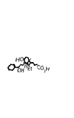 CCC1C(=CCCC(=O)O)[C@@]2(C)CC[C@@H](O)[C@H](CCC(O)C3CCCCC3)[C@@H]12